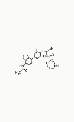 CC(=O)Nc1ccc(-c2ccc(CC(C#N)NC(=O)[C@@H]3CNCCCO3)c(F)c2)c2c1CCC2